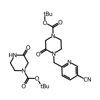 CC(C)(C)OC(=O)N1CCN(Cc2ccc(C#N)cn2)C(=O)C1.CC(C)(C)OC(=O)N1CCNC(=O)C1